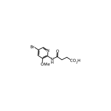 COc1cc(Br)cnc1NC(=O)CCC(=O)O